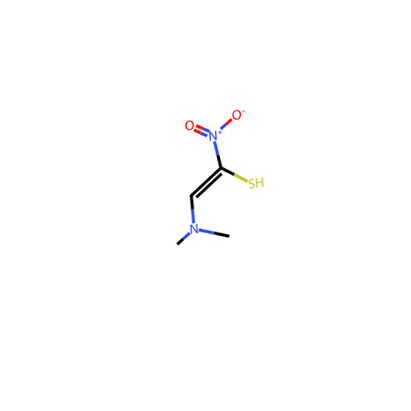 CN(C)C=C(S)[N+](=O)[O-]